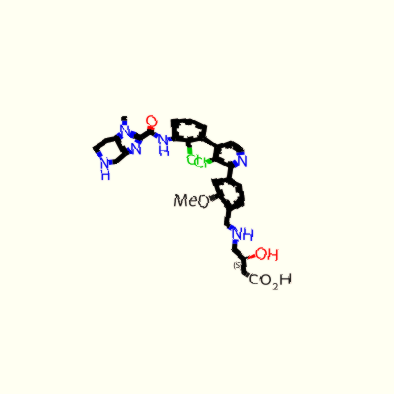 COc1cc(-c2nccc(-c3cccc(NC(=O)c4nc5c(n4C)CCNC5)c3Cl)c2Cl)ccc1CNC[C@@H](O)CC(=O)O